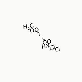 C=CC(=O)OCCCCCCOC(=O)Nc1ccc(Cl)cc1